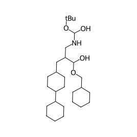 CC(C)(C)OC(O)NCC(CC1CCC(C2CCCCC2)CC1)C(O)OCC1CCCCC1